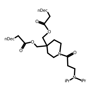 CCCCCCCCCCCC(=O)OCC1(COC(=O)CCCCCCCCCCC)CCN(C(=O)CCN(C(C)C)C(C)C)CC1